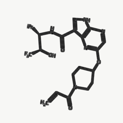 C=CC(=O)N1CCC(Oc2cnc3[nH]cc(C(=O)N[C@H](C(C)C)[C@@H](O)C(F)(F)F)c3n2)CC1